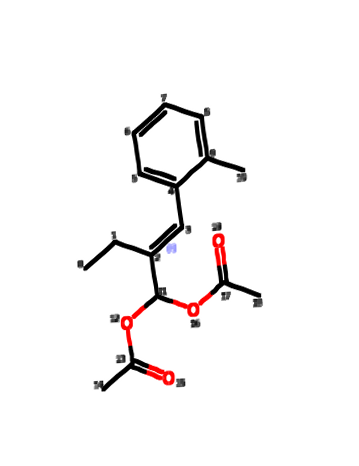 CC/C(=C\c1ccccc1C)C(OC(C)=O)OC(C)=O